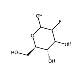 OC[C@H]1OC(O)C(F)C(O)[C@@H]1O